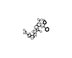 CC(=O)OCC1=C(C(=O)OC(c2ccccc2)c2ccccc2)N2C(=O)C(NC(=O)C(=CCl)c3csc(NC=O)n3)[C@@H]2SC1